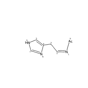 CC(=O)/N=[C]\Cc1c[nH]cn1